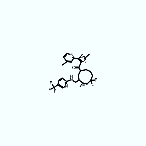 Cc1ccnc(-c2sc(C)nc2C(=O)C2CCCC(F)(F)C[C@@H](C)C(CNc3ccc(C(F)(F)F)cn3)C2)c1